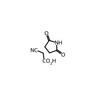 N#CCC(=O)O.O=C1CCC(=O)N1